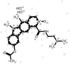 CC(=O)Oc1ccc2c(c1)c1cc3c(C(=O)NCCN(C)C)[n+]([O-])ccc3c(C)c1n2C.Cl.Cl